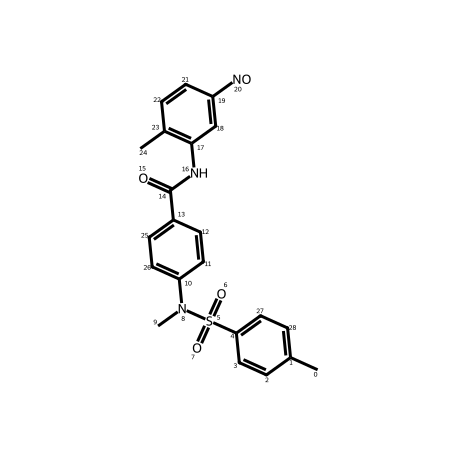 Cc1ccc(S(=O)(=O)N(C)c2ccc(C(=O)Nc3cc(N=O)ccc3C)cc2)cc1